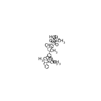 CCC1=Cc2ccccc2C1[Si](CC)(CC)C1C(CC)=Cc2cc(C(C)CC(CC)c3ccc4c(c3)C(=O)N([Si](CC)(CC)CC)C4=O)ccc21